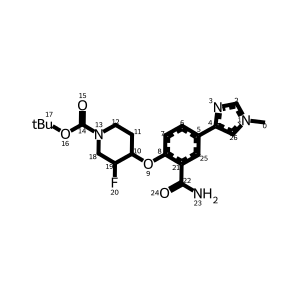 Cn1cnc(-c2ccc(OC3CCN(C(=O)OC(C)(C)C)CC3F)c(C(N)=O)c2)c1